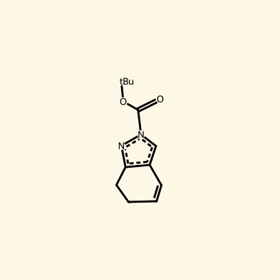 CC(C)(C)OC(=O)n1cc2c(n1)CCC=C2